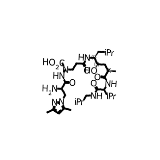 Cc1cc(C)n(CC(N)C(=O)NN(CCC(=O)N[C@@H](CC(C)C)[C@@H](O)C[C@@H](C)C(=O)NC(C(=O)NCC(C)C)C(C)C)C(=O)O)n1